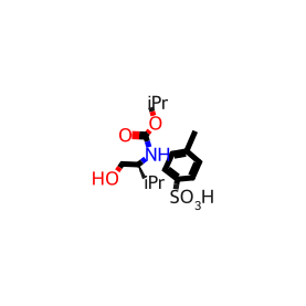 CC(C)OC(=O)N[C@H](CO)C(C)C.Cc1ccc(S(=O)(=O)O)cc1